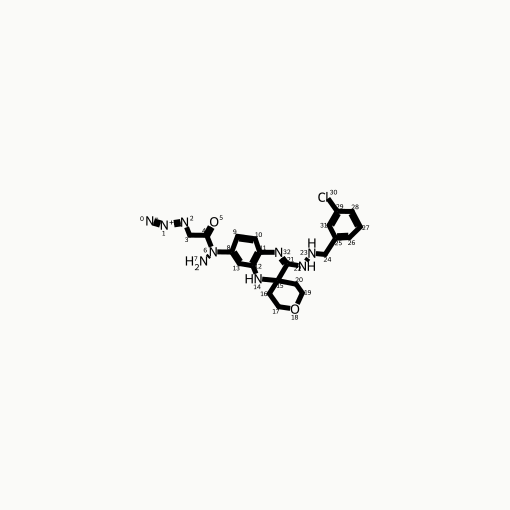 [N-]=[N+]=NCC(=O)N(N)c1ccc2c(c1)NC1(CCOCC1)C(NNCc1cccc(Cl)c1)=N2